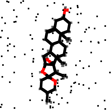 CC1CCC2(OC1)OC1CC3C4CC=C5CC(O)CCC5(C)C4CCC3(C)C1(O)C2C